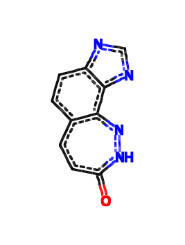 O=c1ccc2ccc3ncnc3c2n[nH]1